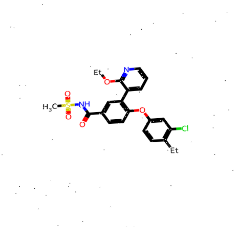 CCOc1ncccc1-c1cc(C(=O)NS(C)(=O)=O)ccc1Oc1ccc(CC)c(Cl)c1